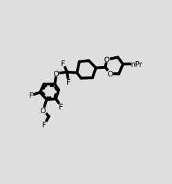 CCCC1COC(C2CCC(C(F)(F)Oc3cc(F)c(OCF)c(F)c3)CC2)OC1